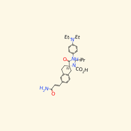 CCN(CC)c1ccc(NC(=O)[C@]2(N(CC(C)C)C(=O)O)CCc3cc(C=CC(N)=O)ccc3C2)cc1